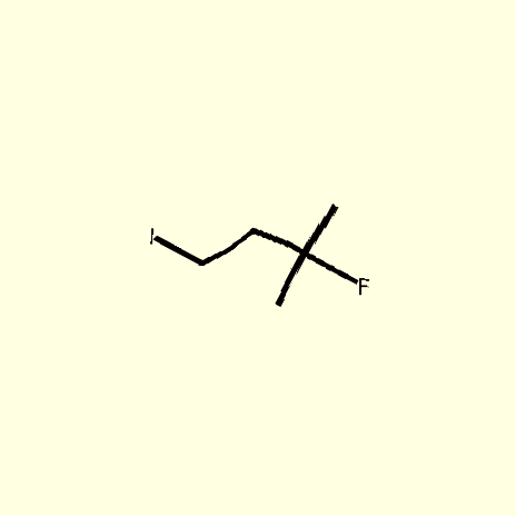 CC(C)(F)CCI